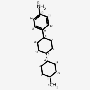 C[C@H]1CC[C@H](C2CCC(c3ccc(N)cc3)CC2)CC1